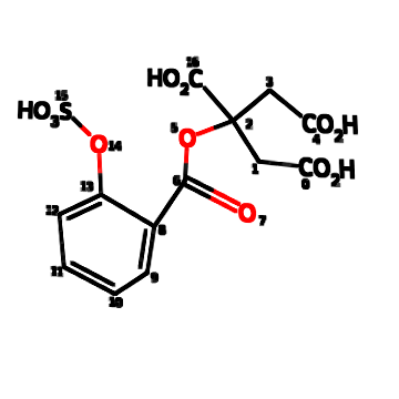 O=C(O)CC(CC(=O)O)(OC(=O)c1ccccc1OS(=O)(=O)O)C(=O)O